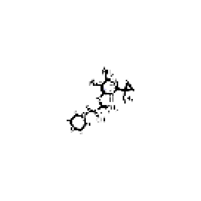 C=C(S/C(NC(=O)C1(C)CC1)=C(\CC)C(N)=O)N(O)SN1CCOCC1